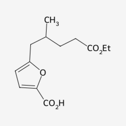 CCOC(=O)CCC(C)Cc1ccc(C(=O)O)o1